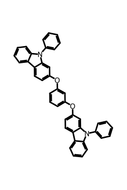 c1ccc(-n2c3ccccc3c3ccc(Oc4cccc(Oc5ccc6c7ccccc7n(-c7ccccc7)c6c5)c4)cc32)cc1